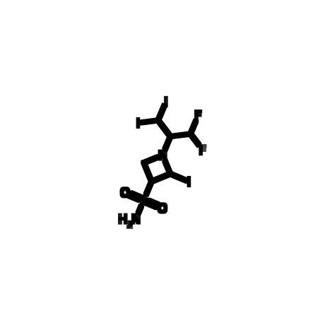 NS(=O)(=O)C1CN(C(C(F)F)C(I)I)C1I